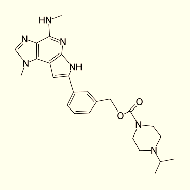 CNc1nc2[nH]c(-c3cccc(COC(=O)N4CCN(C(C)C)CC4)c3)cc2c2c1ncn2C